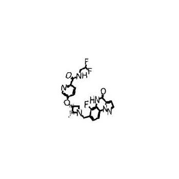 C[C@@H]1[C@@H](Oc2ccc(C(=O)NCC(F)F)nc2)CN1Cc1ccc2c([nH]c(=O)c3ccnn32)c1F